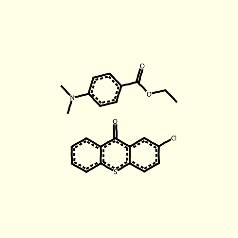 CCOC(=O)c1ccc(N(C)C)cc1.O=c1c2ccccc2sc2ccc(Cl)cc12